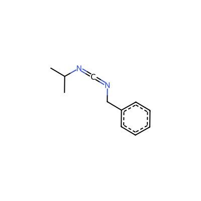 CC(C)N=C=NCc1ccccc1